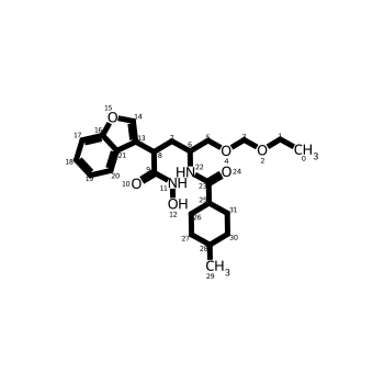 CCOCOCC(CC(C(=O)NO)c1coc2ccccc12)NC(=O)C1CCC(C)CC1